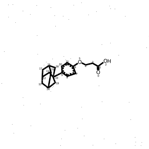 O=C(O)CCOc1ccc(C23CC4CC(CC(C4)C2)C3)cc1